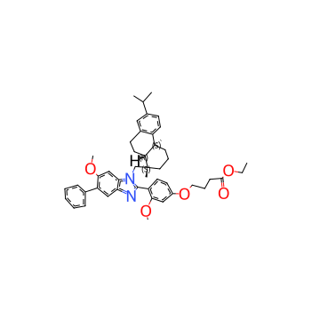 CCOC(=O)CCCOc1ccc(-c2nc3cc(-c4ccccc4)c(OC)cc3n2C[C@@]2(C)CCC[C@]3(C)c4ccc(C(C)C)cc4CC[C@@H]23)c(OC)c1